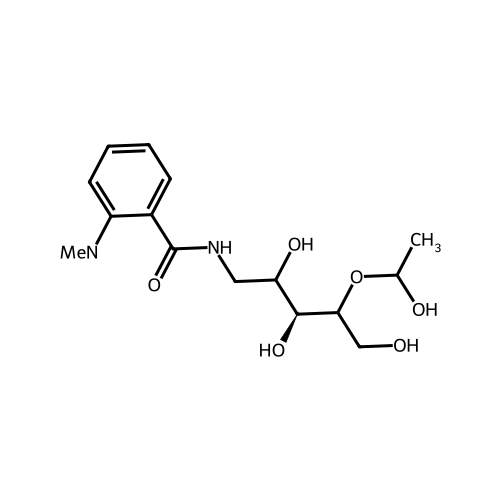 CNc1ccccc1C(=O)NCC(O)[C@H](O)C(CO)OC(C)O